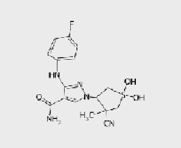 CC1(C#N)CS(O)(O)CC1n1cc(C(N)=O)c(Nc2ccc(F)cc2)n1